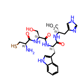 N[C@@H](CS)C(=O)N[C@@H](CO)C(=O)N[C@@H](Cc1c[nH]c2ccccc12)C(=O)N[C@@H](Cc1c[nH]cn1)C(=O)O